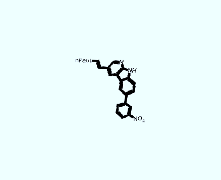 CCCCC/C=C/c1cnc2[nH]c3ccc(-c4cccc([N+](=O)[O-])c4)cc3c2c1